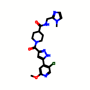 COc1cc(-c2cc(C(=O)N3CCC(C(=O)NCc4nccn4C)CC3)n[nH]2)c(Cl)cn1